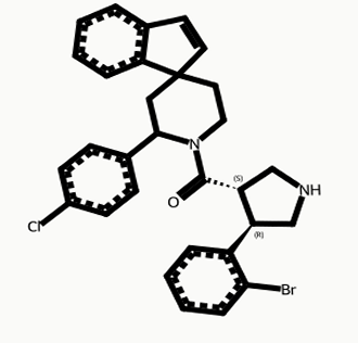 O=C([C@@H]1CNC[C@H]1c1ccccc1Br)N1CCC2(C=Cc3ccccc32)CC1c1ccc(Cl)cc1